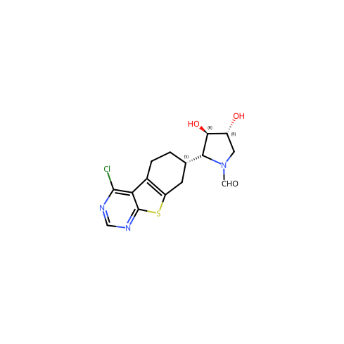 O=CN1C[C@@H](O)[C@H](O)C1[C@H]1CCc2c(sc3ncnc(Cl)c23)C1